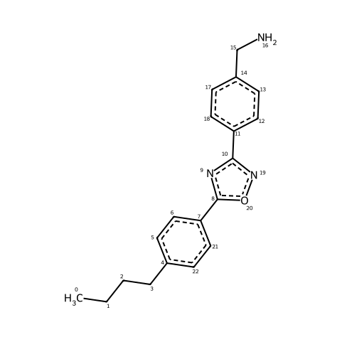 CCCCc1ccc(-c2nc(-c3ccc(CN)cc3)no2)cc1